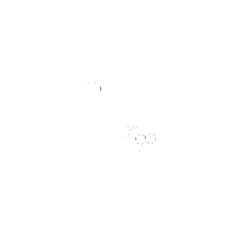 CCCCCCCC/C=C/CCCCCCCCNC(=O)c1cc(C)c2ccccc2c1O